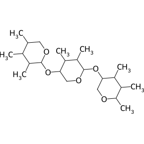 CC1COC(OC2COC(OC3COC(C)C(C)C3C)C(C)C2C)C(C)C1C